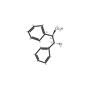 CC[C@H](c1ccccc1)[C@H](C(=O)O)c1ccccc1